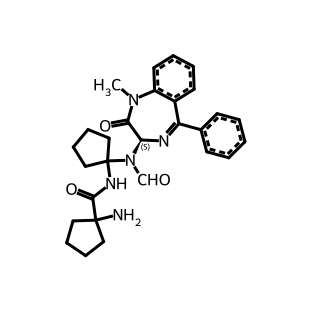 CN1C(=O)[C@H](N(C=O)C2(NC(=O)C3(N)CCCC3)CCCC2)N=C(c2ccccc2)c2ccccc21